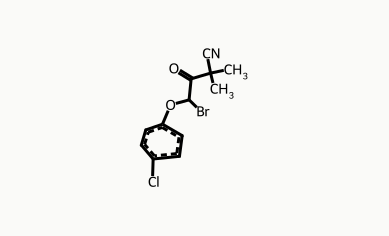 CC(C)(C#N)C(=O)C(Br)Oc1ccc(Cl)cc1